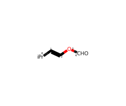 CC(C)/C=C/OC=O